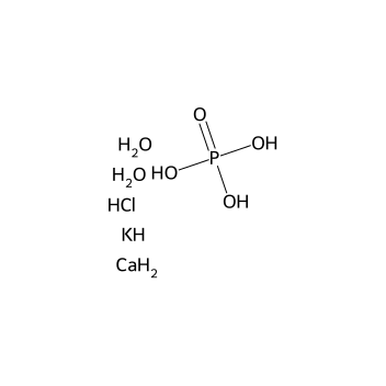 Cl.O.O.O=P(O)(O)O.[CaH2].[KH]